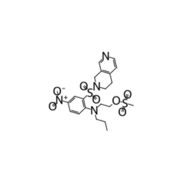 CCCN(CCOS(C)(=O)=O)c1ccc([N+](=O)[O-])cc1S(=O)(=O)N1CCc2ccncc2C1